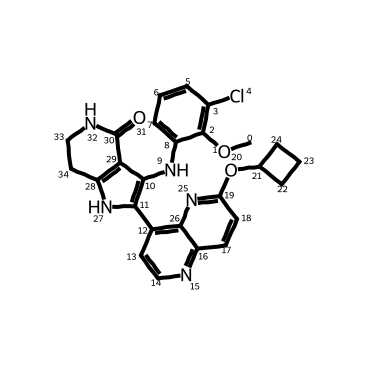 COc1c(Cl)cccc1Nc1c(-c2ccnc3ccc(OC4CCC4)nc23)[nH]c2c1C(=O)NCC2